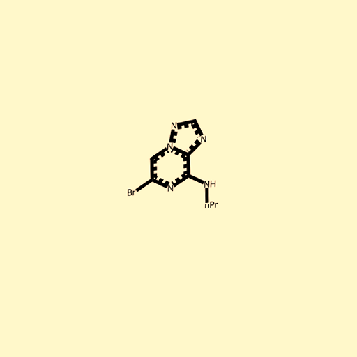 CCCNc1nc(Br)cn2ncnc12